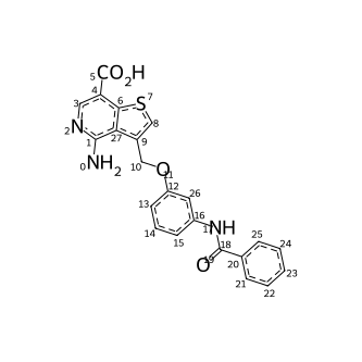 Nc1ncc(C(=O)O)c2scc(COc3cccc(NC(=O)c4ccccc4)c3)c12